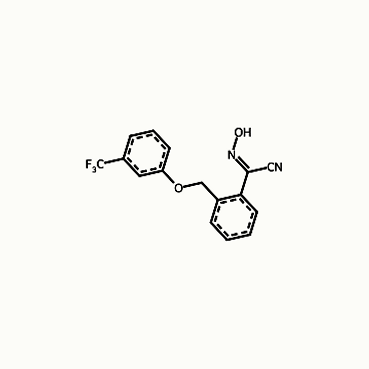 N#CC(=NO)c1ccccc1COc1cccc(C(F)(F)F)c1